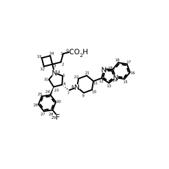 O=C(O)CCC1(N2C[C@H](CN3CCC(c4cn5ccccc5n4)CC3)[C@@H](c3cccc(F)c3)C2)CCC1